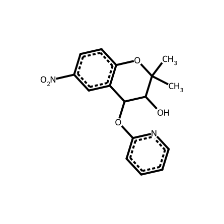 CC1(C)Oc2ccc([N+](=O)[O-])cc2C(Oc2ccccn2)C1O